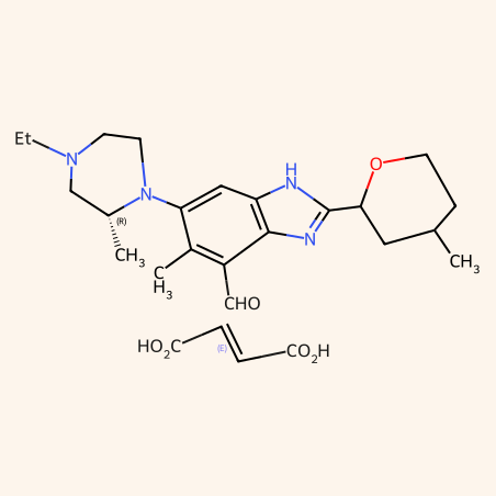 CCN1CCN(c2cc3[nH]c(C4CC(C)CCO4)nc3c(C=O)c2C)[C@H](C)C1.O=C(O)/C=C/C(=O)O